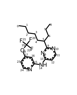 CCCCCC(CCC)c1nccc(Nc2cc(OC(F)(F)F)ccn2)n1